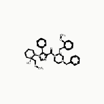 COC[C@]1(O)CCCC[C@H]1n1cnc(C(=O)N2CCN(Cc3ccccc3)C[C@@H]2Cc2ccccc2OC)c1-c1ccccc1